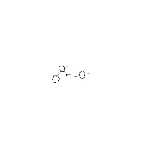 COc1ccc(CNC(=O)c2c(-c3cccnc3)noc2N)cc1OC